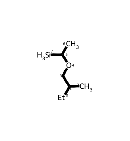 CCC(C)COC(C)[SiH3]